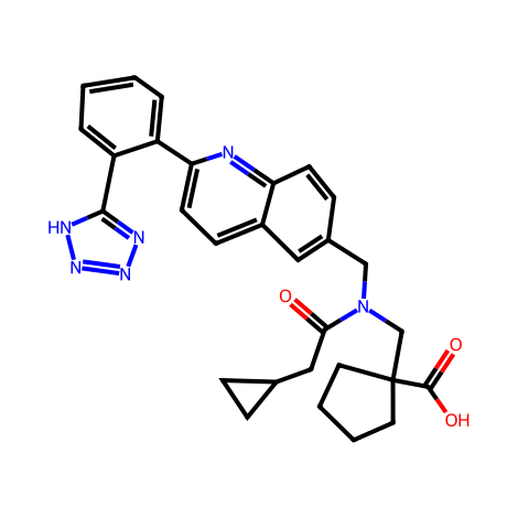 O=C(CC1CC1)N(Cc1ccc2nc(-c3ccccc3-c3nnn[nH]3)ccc2c1)CC1(C(=O)O)CCCC1